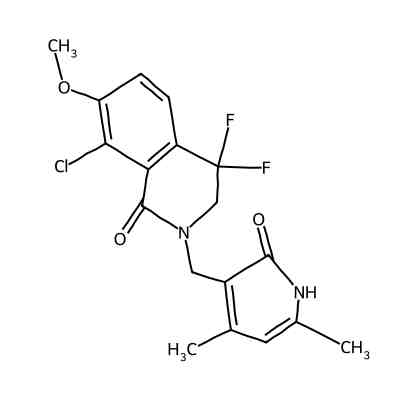 COc1ccc2c(c1Cl)C(=O)N(Cc1c(C)cc(C)[nH]c1=O)CC2(F)F